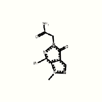 CC(C)c1nn(CC(N)=O)c(=O)c2cnn(C)c12